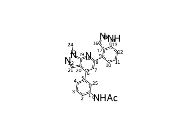 CC(=O)Nc1cccc(-c2cc(-c3cccc4[nH]ncc34)nc3c2cnn3C)c1